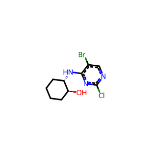 O[C@H]1CCCC[C@@H]1Nc1nc(Cl)ncc1Br